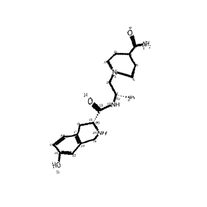 CC(C)[C@@H](CN1CCC(C(N)=O)CC1)NC(=O)[C@H]1Cc2ccc(O)cc2CN1